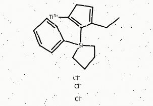 CCC1=CC[C]([Ti+3])=C1[Si]1(c2ccccc2)CCCC1.[Cl-].[Cl-].[Cl-]